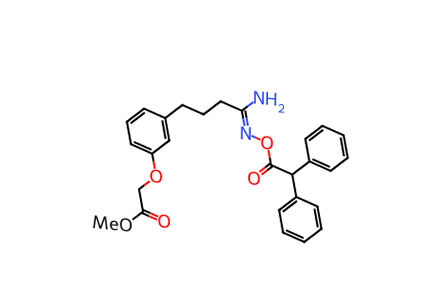 COC(=O)COc1cccc(CCCC(N)=NOC(=O)C(c2ccccc2)c2ccccc2)c1